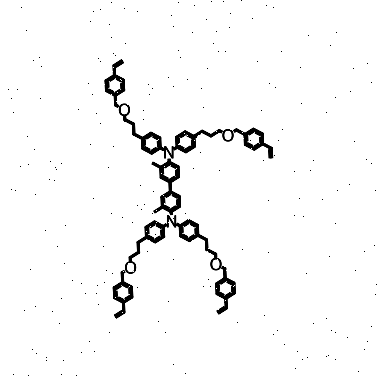 C=Cc1ccc(COCCCc2ccc(N(c3ccc(CCCOCc4ccc(C=C)cc4)cc3)c3ccc(-c4ccc(N(c5ccc(CCCOCc6ccc(C=C)cc6)cc5)c5ccc(CCCOCc6ccc(C=C)cc6)cc5)c(C)c4)cc3C)cc2)cc1